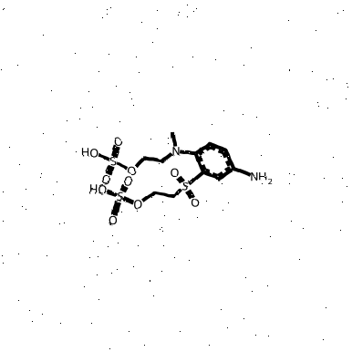 CN(CCOS(=O)(=O)O)c1ccc(N)cc1S(=O)(=O)CCOS(=O)(=O)O